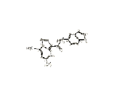 Cc1cc(C)n2ncc(C(=O)Nc3ccc4oncc4c3)c2n1